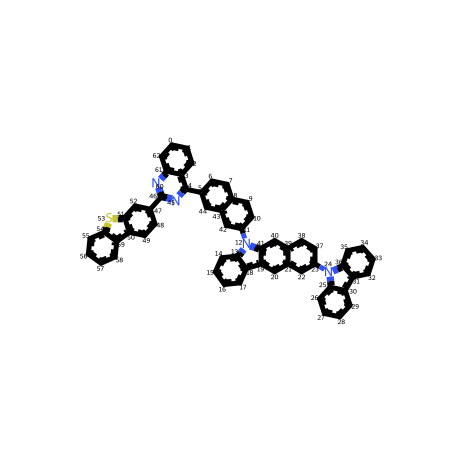 c1ccc2c(-c3ccc4ccc(-n5c6ccccc6c6cc7cc(-n8c9ccccc9c9ccccc98)ccc7cc65)cc4c3)nc(-c3ccc4c(c3)sc3ccccc34)nc2c1